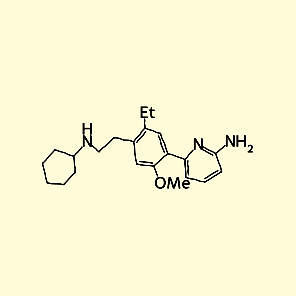 CCc1cc(-c2cccc(N)n2)c(OC)cc1CCNC1CCCCC1